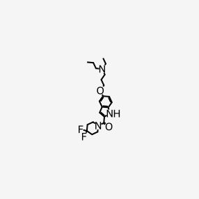 CCCN(CC)CCCOc1ccc2[nH]c(C(=O)N3CCC(F)(F)CC3)cc2c1